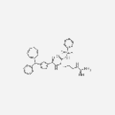 N=C(N)NCCC[C@H](NC(=O)c1ccc(C(C2=CC=CCC=C2)c2ccccc2)s1)C(=O)NS(=O)(=O)c1ccccc1